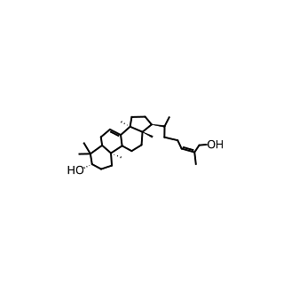 C/C(=C/CCC(C)[C@@H]1CC[C@]2(C)C3=CCC4C(C)(C)[C@@H](O)CC[C@]4(C)C3CC[C@@]12C)CO